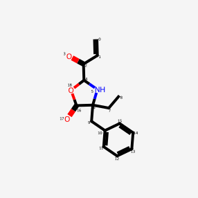 C=CC(=O)C1NC(CC)(Cc2ccccc2)C(=O)O1